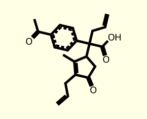 C=CCC1=C(C)C(C(CC=C)(C(=O)O)c2ccc(C(C)=O)cc2)CC1=O